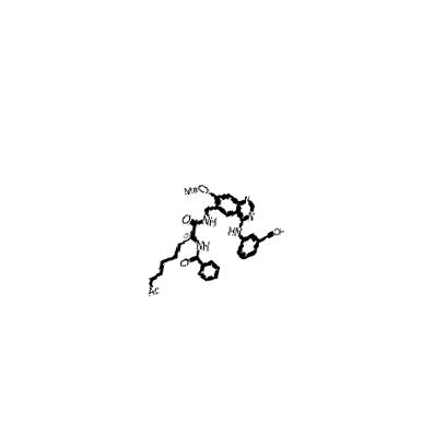 C#Cc1cccc(Nc2ncnc3cc(OC)c(CNC(=O)[C@H](CCCCCC(C)=O)NC(=O)c4ccccc4)cc23)c1